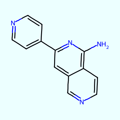 Nc1nc(-c2ccncc2)cc2cnccc12